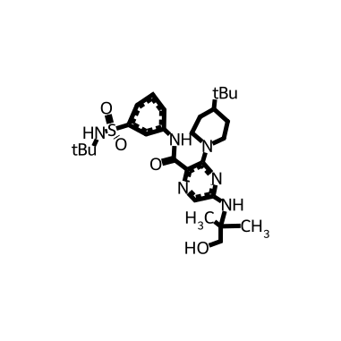 CC(C)(C)NS(=O)(=O)c1cccc(NC(=O)c2ncc(NC(C)(C)CO)nc2N2CCC(C(C)(C)C)CC2)c1